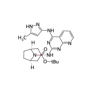 Cc1cc(Nc2nc(N[C@@H]3C[C@H]4CC[C@@H](C3)N4C(=O)OC(C)(C)C)nc3ncccc23)n[nH]1